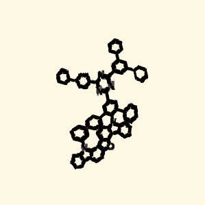 C1=CCC(c2cc(-c3ccccc3)cc(-c3nc(-c4ccc(-c5ccccc5)cc4)nc(-c4cc(-c5ccccc5)c(-n5c6ccccc6c6c7oc8ccc9c%10ccccc%10n(-c%10ccccc%10)c9c8c7ccc65)c(-c5ccccc5)c4)n3)c2)C=C1